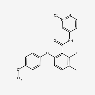 Cc1ccc(Oc2ccc(OC(F)(F)F)cc2)c(C(=O)Nc2ccn[n+]([O-])c2)c1F